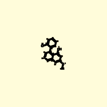 CCOc1nc(O)c2c(-c3ccccc3Cl)cncc2n1